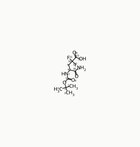 CC(C)(C)OC(=O)NC(CC(F)(F)C(=O)O)C(N)=O